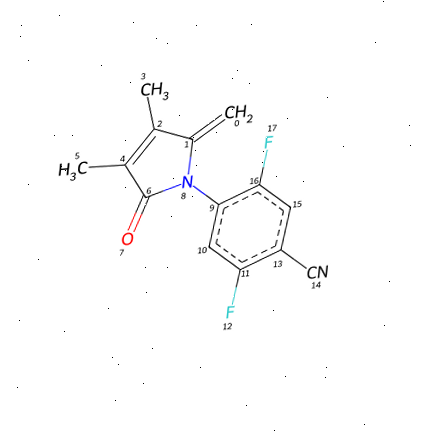 C=C1C(C)=C(C)C(=O)N1c1cc(F)c(C#N)cc1F